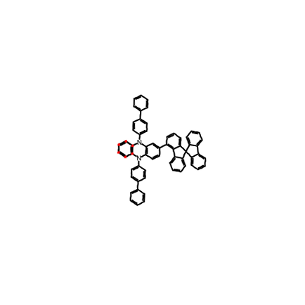 c1ccc(-c2ccc(N(c3ccccc3)c3ccc(-c4cccc5c4-c4ccccc4C54c5ccccc5-c5ccccc54)cc3N(c3ccccc3)c3ccc(-c4ccccc4)cc3)cc2)cc1